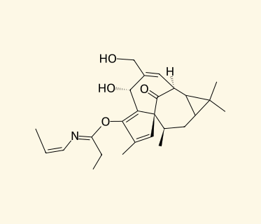 C/C=C\N=C(/CC)OC1=C2[C@H](O)C(CO)=C[C@@H]3C(=O)[C@]2(C=C1C)[C@H](C)CC1C3C1(C)C